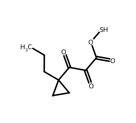 CCCC1(C(=O)C(=O)C(=O)OS)CC1